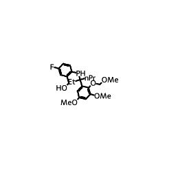 CCCC(CC)(Pc1ccc(F)cc1CO)c1cc(OC)cc(OC)c1OCOC